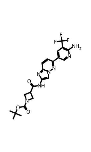 CC(C)(C)OC(=O)N1CC(C(=O)Nc2cn3nc(-c4cnc(N)c(C(F)(F)F)c4)ccc3n2)C1